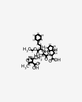 CCOC(=O)C(CCc1ccccc1)NC(C)C(=O)N1[C@H](C(=O)O)C[C@@H]2CCC[C@@H]21.Cc1noc(C)c1C(=O)O